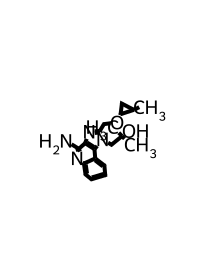 CC1CC1OCc1nc2c(N)nc3ccccc3c2n1CC(C)(C)O